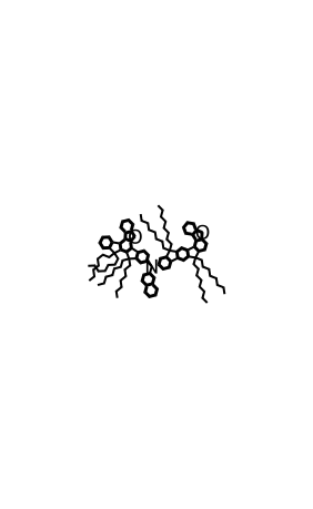 CCCCCCCCC1(CCCCCCCC)c2cc(N(c3ccc4c(c3)C(CCCCCCC)(CCCCCCC)c3c5c(c6c(oc7ccccc76)c3-4)-c3ccccc3C5(CCCCCCC)CCCCCCC)c3ccc4ccccc4c3)ccc2-c2cc3c(cc21)-c1c(ccc2oc4ccccc4c12)C3(CCCCCCCC)CCCCCCCC